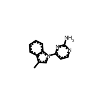 Cc1cn(-c2ccnc(N)n2)c2ccccc12